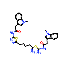 Cn1cc(CC(=O)NC(=N)SC(=N)CCCCc2nnc(NC(=O)Cc3cn(C)c4ccccc34)s2)c2ccccc21